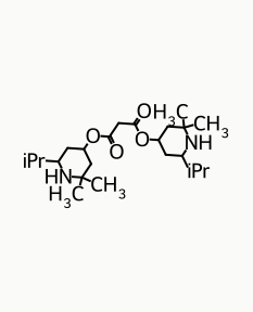 CC(C)C1CC(OC(=O)CC(=O)OC2CC(C(C)C)NC(C)(C)C2)CC(C)(C)N1